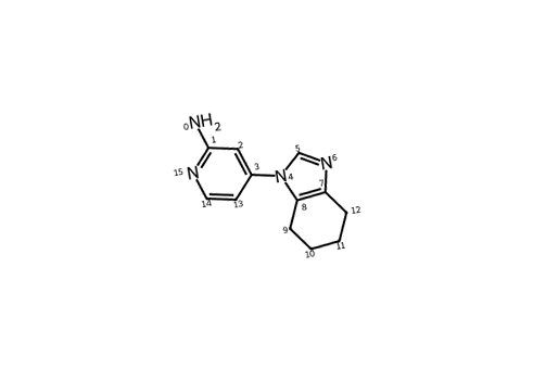 Nc1cc(-n2cnc3c2CCCC3)ccn1